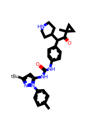 Cc1ccc(-n2nc(C(C)(C)C)cc2NC(=O)Nc2ccc(C(C(=O)C3(C)CC3)C3CCNCC3)cc2)cc1